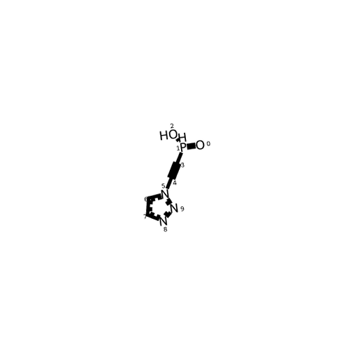 O=[PH](O)C#Cn1ccnn1